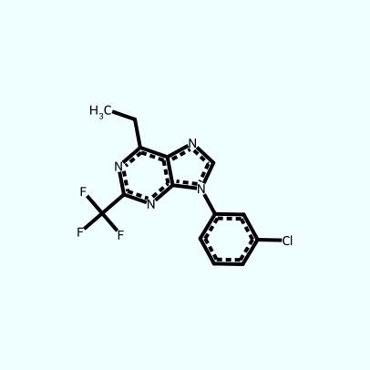 CCc1nc(C(F)(F)F)nc2c1ncn2-c1cccc(Cl)c1